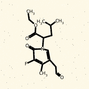 CCOC(=O)C(CC(C)C)n1cc(CC=O)c(C)c(F)c1=O